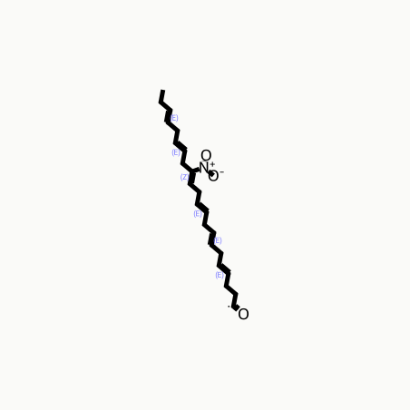 CC/C=C/C/C=C/C/C(=C/C/C=C/C/C=C/C/C=C/CC[C]=O)[N+](=O)[O-]